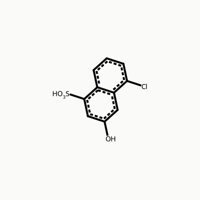 O=S(=O)(O)c1cc(O)cc2c(Cl)cccc12